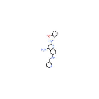 COc1ccccc1CNc1cc(N)c2cc(NCc3cccnc3)ccc2n1